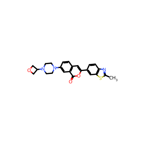 Cc1nc2ccc(-c3cc4ccc(N5CCN(C6COC6)CC5)cc4c(=O)o3)cc2s1